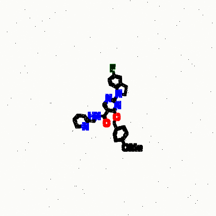 COc1ccc(COc2nc(N3CCc4cc(F)ccc43)ncc2C(=O)NCc2ccccn2)cc1